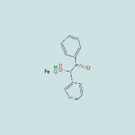 Cl.O=C(c1ccccc1)C(O)c1ccccc1.[Fe]